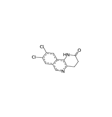 O=C1CCc2ncc3cc(Cl)c(Cl)cc3c2N1